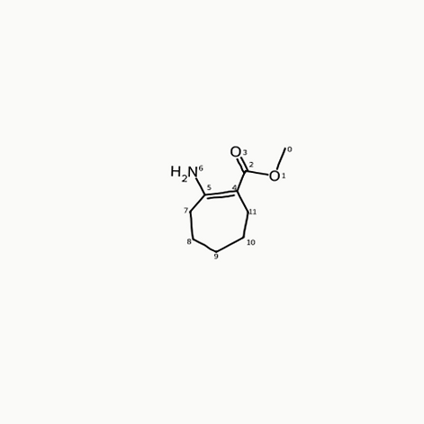 COC(=O)C1=C(N)CCCCC1